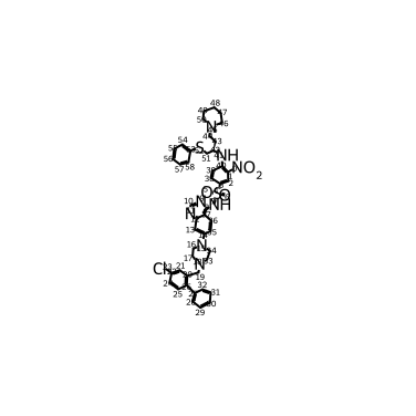 O=[N+]([O-])c1cc(S(=O)(=O)Nc2ncnc3cc(N4CCN(Cc5cc(Cl)ccc5-c5ccccc5)CC4)ccc23)ccc1N[C@H](CCN1CCCCC1)CSc1ccccc1